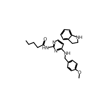 CCCCC(=O)Nc1nccc(NCc2ccc(OC)cc2)n1.c1ccc2c(c1)CCN2